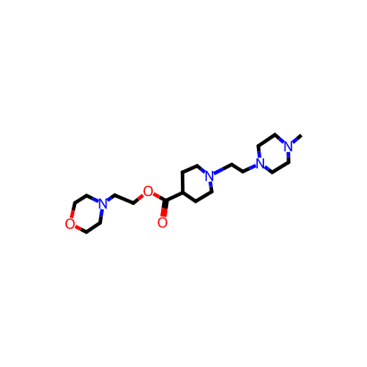 CN1CCN(CCN2CCC(C(=O)OCCN3CCOCC3)CC2)CC1